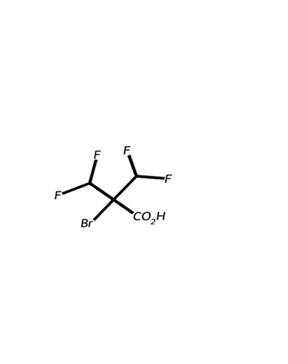 O=C(O)C(Br)(C(F)F)C(F)F